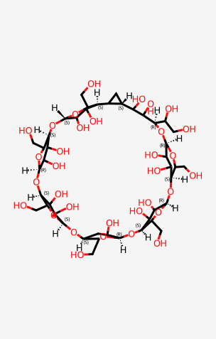 OCC(O)[C@H]1O[C@H]2OC(CO)[C@@H](O[C@H]3OC(CO)[C@@H](O[C@H]4OC(CO)[C@H](CC4O)O[C@H]4OC(CO)[C@@H](O[C@H]5OC(CO)[C@@H](O[C@@H]6OC(CO)[C@H](C(O)C6O)C6C[C@@H]6C(O)C1O)C(O)C5O)C(O)C4O)C(O)C3O)C(O)C2O